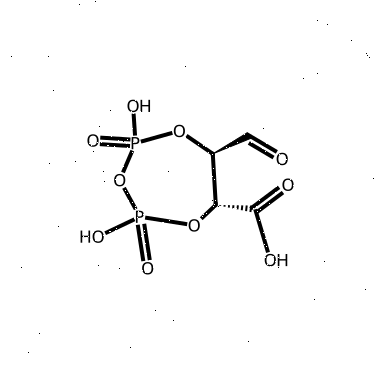 O=C[C@@H]1OP(=O)(O)OP(=O)(O)O[C@H]1C(=O)O